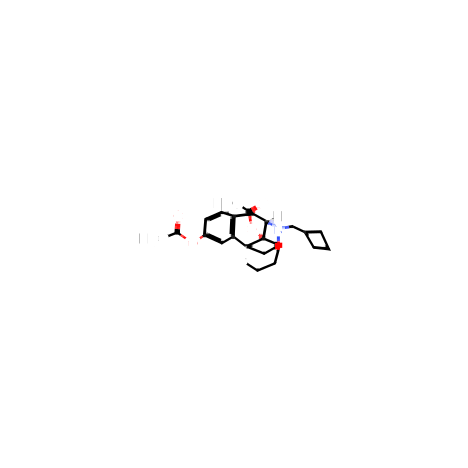 CC(=O)Oc1ccc2c(c1)[C@@]13CCCCC1(OC(C)=O)[C@@H](C2)N(CC1CCC1)CC3